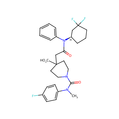 CN(C(=O)N1CCC(CC(=O)N(c2ccccc2)[C@@H]2CCCC(F)(F)C2)(C(=O)O)CC1)c1ccc(F)cc1